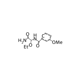 CCOC(NC(=O)c1cccc(OC)c1)C(N)=O